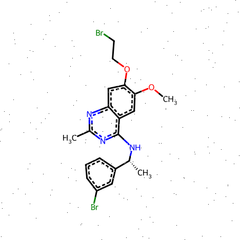 COc1cc2c(N[C@H](C)c3cccc(Br)c3)nc(C)nc2cc1OCCBr